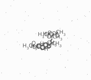 CC(=O)O[C@H]1CC[C@@]2(C)C(=CC[C@H]3[C@@H]4CC[C@H]([C@H](C)CC[C@H](OC(C)=O)C(C)(C)OC(C)=O)[C@@]4(C)CC[C@@H]32)C1